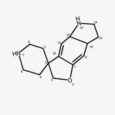 C1=C2OCC3(CCNCC3)C2=CC2NCCC12